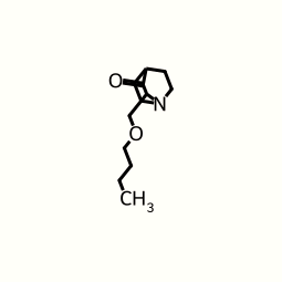 CCCCOCC1C(=O)C2CCN1CC2